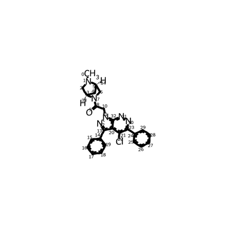 CN1C[C@H]2C[C@@H]1CN2C(=O)Cn1nc(-c2ccccc2)c2c(Cl)c(-c3ccccc3)nnc21